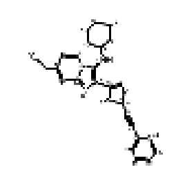 CCc1ccn2c(NC3CCCCC3)c(-c3ccc(C#Cc4ccccn4)s3)nc2c1